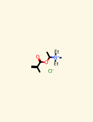 C=C(C)C(=O)OC(C)[N+](C)(CC)CC.[Cl-]